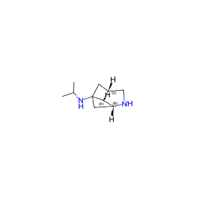 CC(C)NC12C[C@@H]3CN[C@H](C1)[C@@H]32